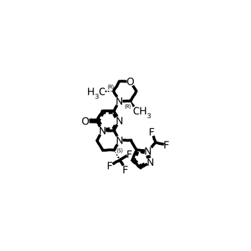 C[C@@H]1COC[C@@H](C)N1c1cc(=O)n2c(n1)N(Cc1ccnn1C(F)F)[C@H](C(F)(F)F)CC2